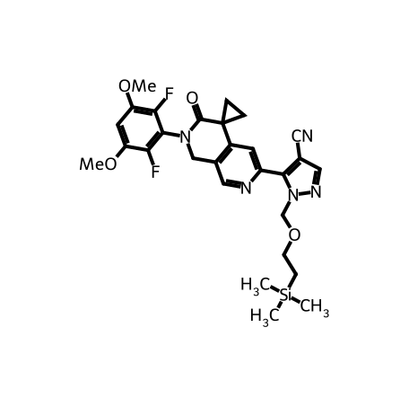 COc1cc(OC)c(F)c(N2Cc3cnc(-c4c(C#N)cnn4COCC[Si](C)(C)C)cc3C3(CC3)C2=O)c1F